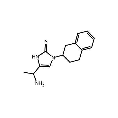 CC(N)c1cn(C2CCc3ccccc3C2)c(=S)[nH]1